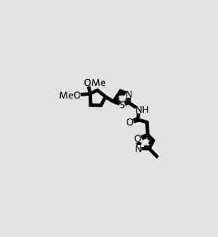 COC1(OC)CCC(c2cnc(NC(=O)Cc3cc(C)no3)s2)C1